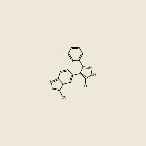 CCc1[nH]nc(-c2cccc(C)n2)c1-c1ccc2ncc(C#N)n2c1